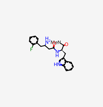 CNC(=O)[C@@H](Cc1c[nH]c2ccccc12)NC(=O)C[C@H](N)Cc1ccccc1F